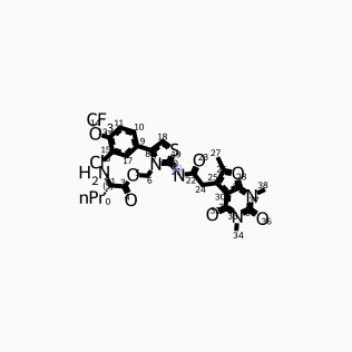 CCC[C@H](N)C(=O)OCn1c(-c2ccc(OC(F)(F)F)c(Cl)c2)cs/c1=N\C(=O)Cc1c(C)oc2c1c(=O)n(C)c(=O)n2C